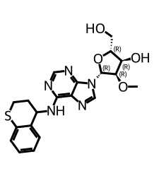 CO[C@@H]1[C@H](O)[C@@H](CO)O[C@H]1n1cnc2c(NC3CCSc4ccccc43)ncnc21